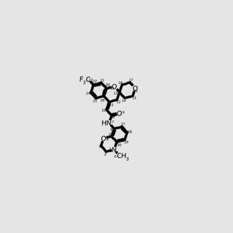 CN1CCOc2c(NC(=O)C=C3CC4(CCOCC4)Oc4cc(C(F)(F)F)ccc43)cccc21